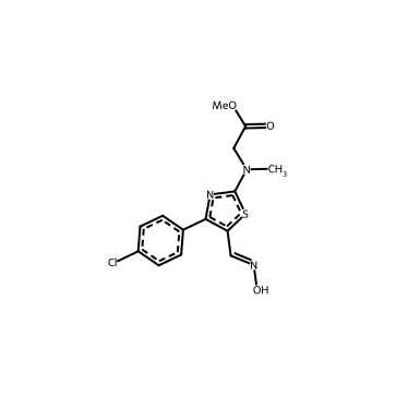 COC(=O)CN(C)c1nc(-c2ccc(Cl)cc2)c(C=NO)s1